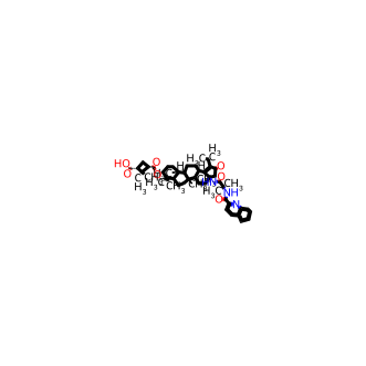 CC(C)C1=C2[C@H]3CC[C@@H]4[C@@]5(C)CC[C@H](OC(=O)[C@H]6C[C@@H](C(=O)O)C6(C)C)C(C)(C)C5CC[C@@]4(C)[C@]3(C)CC[C@@]2(NC(=O)C(C)(C)NC(=O)c2ccc3ccccc3n2)CC1=O